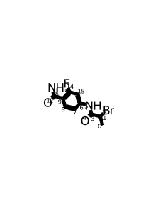 CC(Br)C(=O)Nc1ccc(C(N)=O)c(F)c1